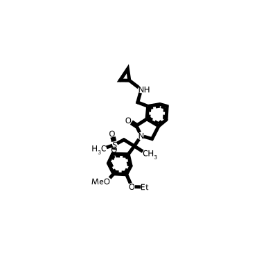 CCOc1cc(C(C)(CS(C)(=O)=O)N2Cc3cccc(CNC4CC4)c3C2=O)ccc1OC